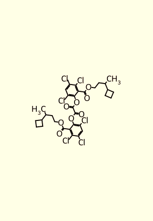 CC(CCOC(=O)c1c(Cl)c(Cl)cc(Cl)c1OC(=O)C(=O)Oc1c(Cl)cc(Cl)c(Cl)c1C(=O)OCCC(C)C1CCC1)C1CCC1